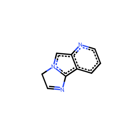 C1=Nc2c3cccnc3cn2C1